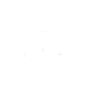 CC1(C)CC(C(=O)O)N(C(=O)O)SN1